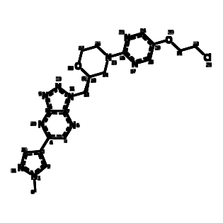 Cn1cc(-c2cnc3c(nnn3C[C@@H]3CN(c4ncc(OCCCl)cn4)CCO3)n2)cn1